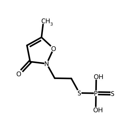 Cc1cc(=O)n(CCSP(O)(O)=S)o1